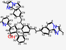 Cc1cn2ccc3cc(CCc4cc(CCc5ccc6c(ccn7cc(C)nc67)c5)cc(-c5ccccc5-c5ccc(-c6ccccn6)cc5O)c4)ccc3c2n1